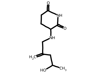 C=C(CNC1CCC(=O)NC1=O)CC(C)O